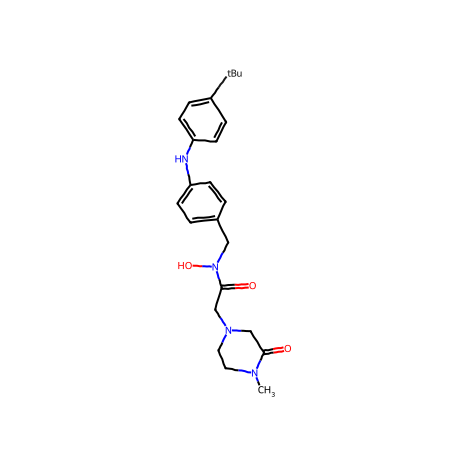 CN1CCN(CC(=O)N(O)Cc2ccc(Nc3ccc(C(C)(C)C)cc3)cc2)CC1=O